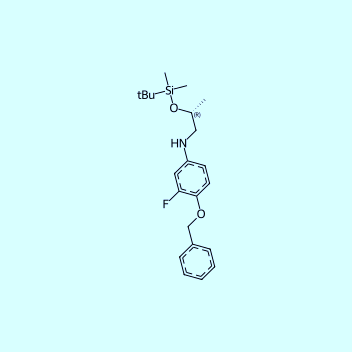 C[C@H](CNc1ccc(OCc2ccccc2)c(F)c1)O[Si](C)(C)C(C)(C)C